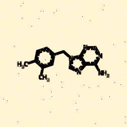 Cc1ccc(Cn2cnc3c(N)ncnc32)cc1C